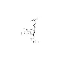 CCCN(C)CCCN(CCCN(C)CCC)C[Si](CC)(CC)OCC